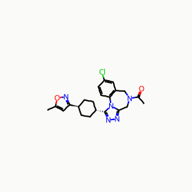 CC(=O)N1Cc2cc(Cl)ccc2-n2c(nnc2[C@H]2CC[C@H](c3cc(C)on3)CC2)C1